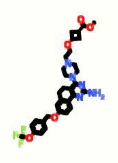 COC(=O)[C@H]1C[C@@H](OCCN2CCN(c3nc(N)nc4c3CCc3cc(OCc5ccc(OC(F)(F)F)cc5)ccc3-4)CC2)C1